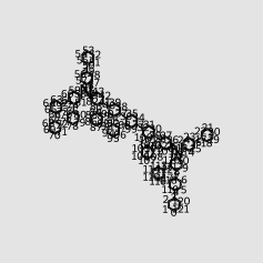 c1ccc(-c2ccc(-c3ccc(N(c4ccc(-c5ccccc5)cc4)c4ccc(-c5ccc(-c6ccc(-c7ccc(-c8ccc(N(c9ccc(-c%10ccccc%10)cc9)c9ccc(-c%10cccc(-c%11ccccc%11)c%10)c(-c%10ccccc%10)c9)cc8-c8ccccc8)cc7-c7ccccc7)cc6)cc5)c(-c5ccccc5)c4)cc3-c3ccccc3)cc2)cc1